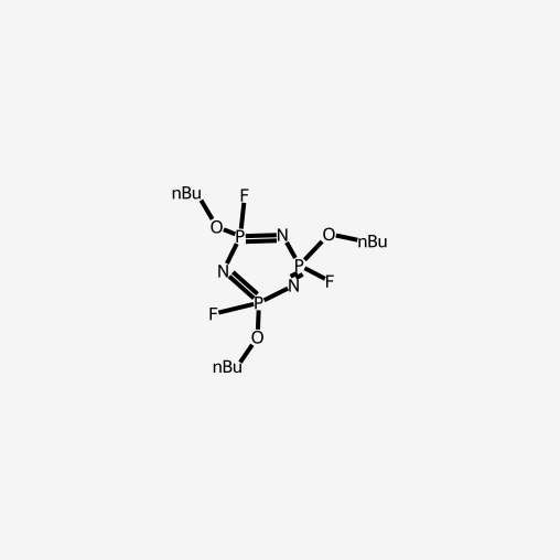 CCCCOP1(F)=NP(F)(OCCCC)=NP(F)(OCCCC)=N1